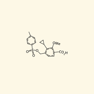 COc1c(C(=O)O)ccc(COS(=O)(=O)c2ccc(C)cc2)c1C1CC1